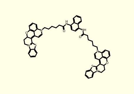 O=C(CCCCCN1C=CC2=C3c4sc5ccccc5[n+]4CCC3Oc3cccc1c32)Nc1ccc(NC(=O)CCCCCN2C=CC3=C4c5sc6ccccc6[n+]5CCC4Oc4cccc2c43)c2ccccc12